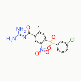 Cc1cc(S(=O)(=O)c2cccc(Cl)c2)c([N+](=O)[O-])cc1C(=O)N=C(N)N